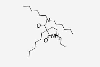 CCCCCCN(CCCCCC)C(=O)C(CCCCCC)(CCCCCC)C(N)=O